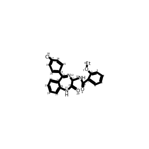 CCOc1ccccc1C(=O)NC1N=C(c2ccc(Cl)cc2)c2ccccc2NC1=O